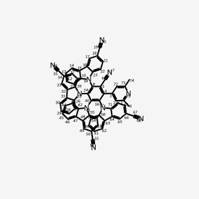 Cc1cc(-c2c(C#N)c(-n3c4ccccc4c4cc(C#N)ccc43)c(-n3c4ccccc4c4cc(C#N)ccc43)c(-n3c4ccccc4c4cc(C#N)ccc43)c2-n2c3ccccc3c3cc(C#N)ccc32)cc(C)n1